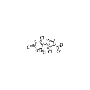 O=[N+]([O-])c1cnn(-c2c(Cl)cc(Cl)cc2Cl)c1Cl